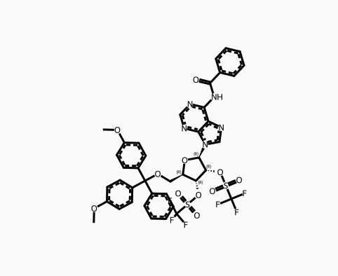 COc1ccc(C(OC[C@H]2O[C@@H](n3cnc4c(NC(=O)c5ccccc5)ncnc43)[C@H](OS(=O)(=O)C(F)(F)F)[C@@H]2OS(=O)(=O)C(F)(F)F)(c2ccccc2)c2ccc(OC)cc2)cc1